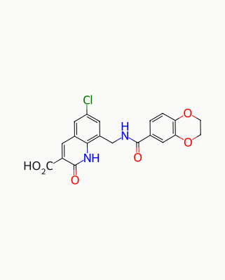 O=C(NCc1cc(Cl)cc2cc(C(=O)O)c(=O)[nH]c12)c1ccc2c(c1)OCCO2